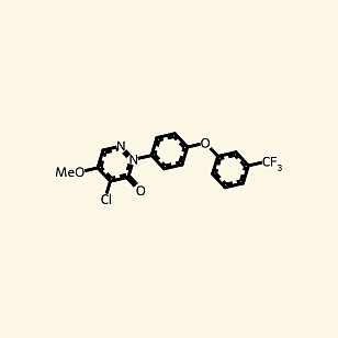 COc1cnn(-c2ccc(Oc3cccc(C(F)(F)F)c3)cc2)c(=O)c1Cl